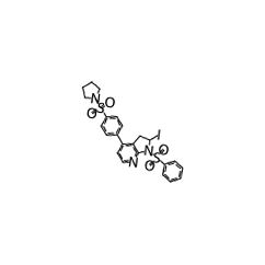 O=S(=O)(c1ccc(-c2ccnc3c2CC(I)N3S(=O)(=O)c2ccccc2)cc1)N1CCCC1